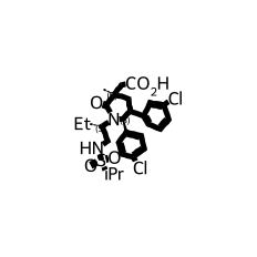 CC[C@@H](CNS(=O)(=O)C(C)C)N1C(=O)[C@@](C)(CC(=O)O)CC(c2cccc(Cl)c2)[C@H]1c1ccc(Cl)cc1